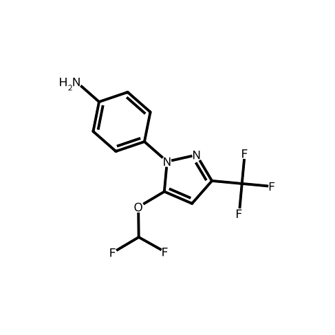 Nc1ccc(-n2nc(C(F)(F)F)cc2OC(F)F)cc1